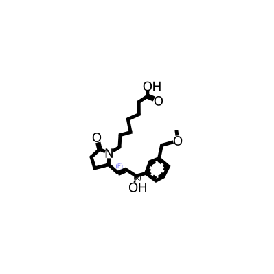 COCc1cccc([C@H](O)/C=C/C2CCC(=O)N2CCCCCCC(=O)O)c1